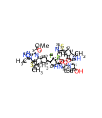 COC(=O)C[C@@H]1N=C(c2ccc(-c3ccc(C(=O)NC(C(=O)N4C[C@H](O)C[C@H]4C(=O)N[C@@H](C)c4ccc(-c5scnc5C)cc4)C(C)(C)C)c(F)c3F)cc2)c2c(sc(C)c2C)-n2c(C)nnc21